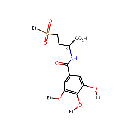 CCOc1cc(C(=O)N[C@@H](CCS(=O)(=O)CC)C(=O)O)cc(OCC)c1OCC